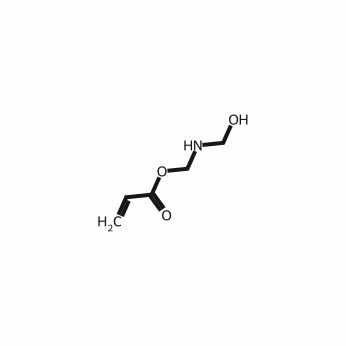 C=CC(=O)OCNCO